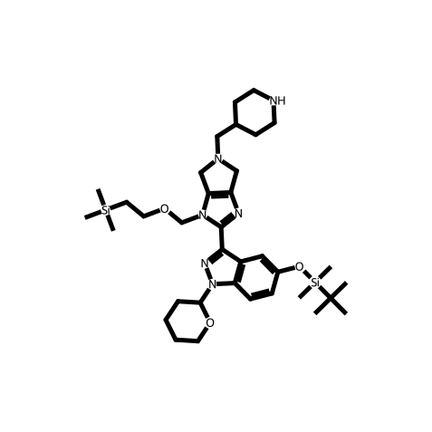 CC(C)(C)[Si](C)(C)Oc1ccc2c(c1)c(-c1nc3c(n1COCC[Si](C)(C)C)CN(CC1CCNCC1)C3)nn2C1CCCCO1